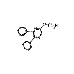 O=C(O)Oc1cnc(-c2ccccc2)c(-c2ccccc2)n1